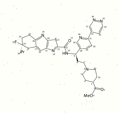 COC(=O)C1CCN(CC[C@@H](NC(=O)c2nc3cc4c(nc3s2)CC[C@@](F)(C(C)C)C4)c2ccc(-c3ccnnc3)nc2)CC1